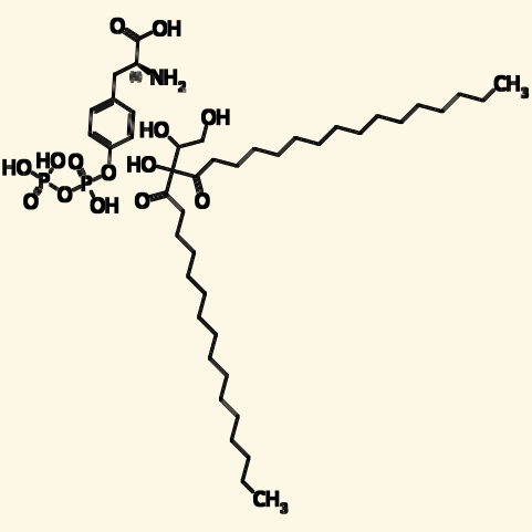 CCCCCCCCCCCCCCCC(=O)C(O)(C(=O)CCCCCCCCCCCCCCC)C(O)CO.N[C@@H](Cc1ccc(OP(=O)(O)OP(=O)(O)O)cc1)C(=O)O